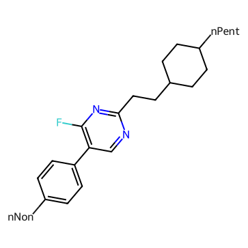 CCCCCCCCCc1ccc(-c2cnc(CCC3CCC(CCCCC)CC3)nc2F)cc1